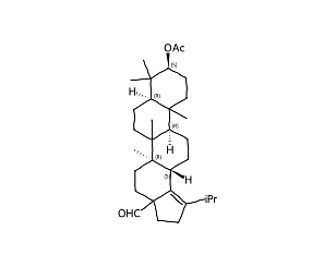 CC(=O)O[C@H]1CCC2(C)[C@H]3CC[C@@H]4C5=C(C(C)C)CCC5(C=O)CC[C@@]4(C)C3(C)CC[C@H]2C1(C)C